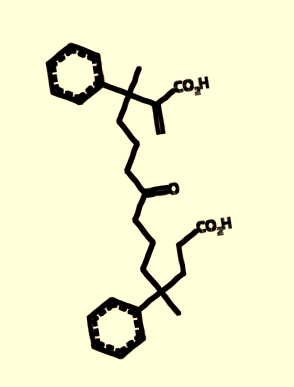 C=C(C(=O)O)C(C)(CCCC(=O)CCCC(C)(CCC(=O)O)c1ccccc1)c1ccccc1